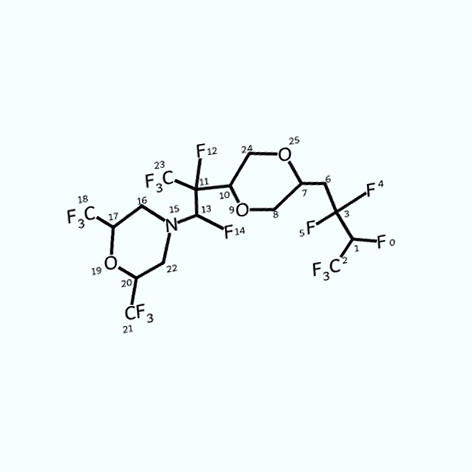 FC(C(F)(F)F)C(F)(F)CC1COC(C(F)(C(F)N2CC(C(F)(F)F)OC(C(F)(F)F)C2)C(F)(F)F)CO1